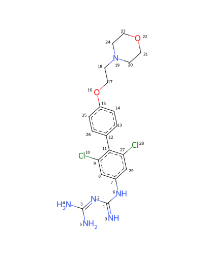 N=C(N=C(N)N)Nc1cc(Cl)c(-c2ccc(OCCN3CCOCC3)cc2)c(Cl)c1